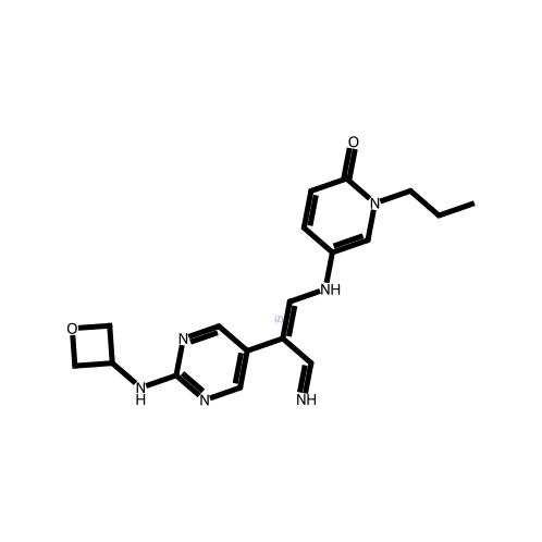 CCCn1cc(N/C=C(\C=N)c2cnc(NC3COC3)nc2)ccc1=O